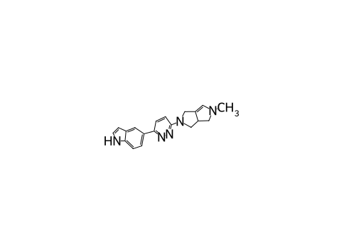 CN1C=C2CN(c3ccc(-c4ccc5[nH]ccc5c4)nn3)CC2C1